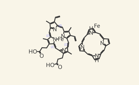 C1=Cc2cc3ccc(cc4nc(cc5ccc(cc1n2)[nH]5)C=C4)[nH]3.C=CC1=C(C)C2=NC/1=C\c1c(C)c(C=C)c3[n]1[Fe][n]1/c(c(C)c(CCC(=O)O)/c1=C/C1=NC(=C\3)/C(C)=C1CCC(=O)O)=C\2.[Fe]